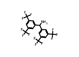 NC(c1cc(C(F)(F)F)cc(C(F)(F)F)c1)c1cc(C(F)(F)F)cc(C(F)(F)F)c1